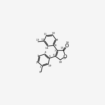 Cc1cccc(C2=C(c3cccc(C)c3)C(=O)OC2)c1